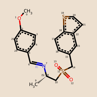 COc1ccc(/C=N/[C@@H](C)CS(=O)(=O)Cc2ccc3sccc3c2)cc1